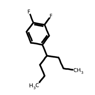 CCCC(CCC)c1ccc(F)c(F)c1